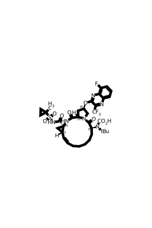 CC(C)(C)N(C(=O)O)[C@H]1CCCCCC=C[C@@H]2C[C@@]2(C(=O)NS(=O)(=O)C2(C)CC2)NC(=O)[C@@H]2C[C@@H](Oc3nc4c(F)cccc4nc3C(F)(F)F)CN2C1=O